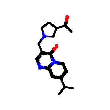 CC(=O)C1CCN(Cc2cnc3cc(C(C)C)ccn3c2=O)C1